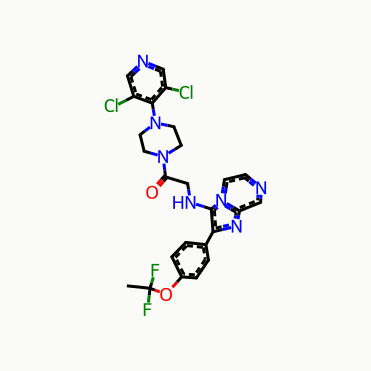 CC(F)(F)Oc1ccc(-c2nc3cnccn3c2NCC(=O)N2CCN(c3c(Cl)cncc3Cl)CC2)cc1